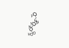 O=C(O)c1ccnc(-c2cc3cnn(CCc4ccccc4F)c3cn2)c1